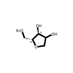 CC(=O)OC[C@H]1OCC(O)[C@@H]1O